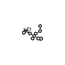 CCc1nc2ccccc2n1-c1ccc(-c2c3ccccc3c(-c3ccc4ccccc4c3)c3cc(-c4cccc(-c5ccccc5)c4)ccc23)cc1